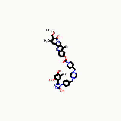 CCc1c2c(nc3ccc(OC(=O)N4CCC(CN5CCN(Cc6ccc(-n7c(O)nnc7-c7cc(C(C)C)c(O)cc7O)cc6)CC5)CC4)cc13)-c1cc(C)c(COC(=O)O)c(=O)n1C2